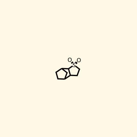 O=S1(=O)CCC2C3CCC(C3)C21